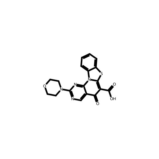 O=C(O)c1c(=O)c2cnc(N3CCOCC3)nc2n2c1sc1ccccc12